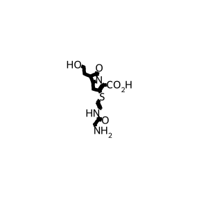 NCC(=O)NC=CSC1=C(C(=O)O)N2C(=O)C(CCO)C2C1